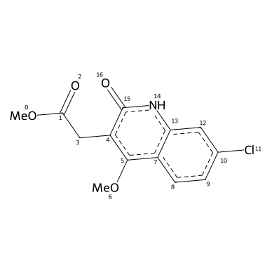 COC(=O)Cc1c(OC)c2ccc(Cl)cc2[nH]c1=O